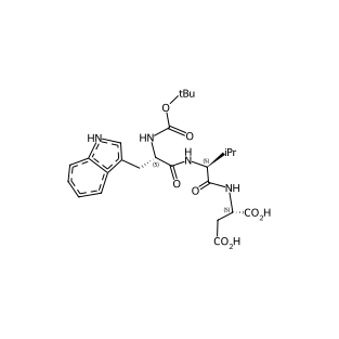 CC(C)[C@H](NC(=O)[C@H](Cc1c[nH]c2ccccc12)NC(=O)OC(C)(C)C)C(=O)N[C@@H](CC(=O)O)C(=O)O